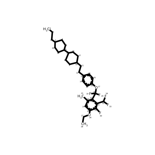 CCCC1CCC(C2CCC(CCc3ccc(OC(F)(F)c4c(C)cc(OCC)c(F)c4C(F)F)cc3)CC2)CC1